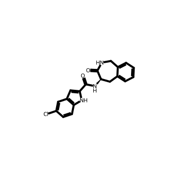 O=C(N[C@@H]1Cc2ccccc2CNC1=O)c1cc2cc(Cl)ccc2[nH]1